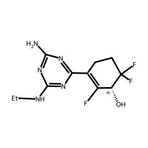 CCNc1nc(N)nc(C2=C(F)[C@@H](O)C(F)(F)CC2)n1